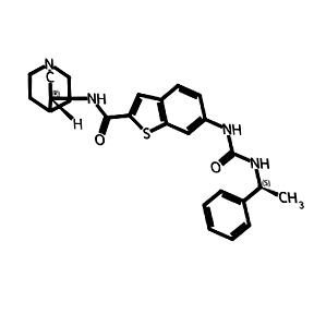 C[C@H](NC(=O)Nc1ccc2cc(C(=O)N[C@H]3CN4CCC3CC4)sc2c1)c1ccccc1